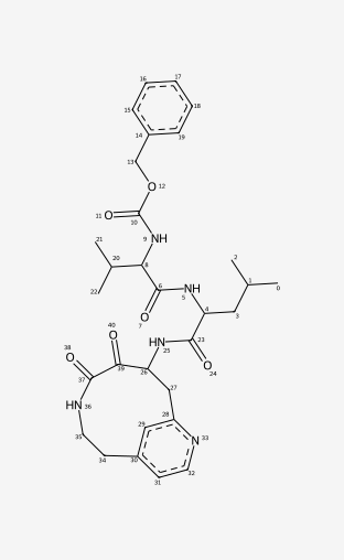 CC(C)CC(NC(=O)C(NC(=O)OCc1ccccc1)C(C)C)C(=O)NC1Cc2cc(ccn2)CCNC(=O)C1=O